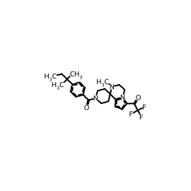 CCC(C)(C)c1ccc(C(=O)N2CCC3(CC2)c2ccc(C(=O)C(F)(F)F)n2CCN3C)cc1